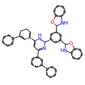 C1=C(C2=CC(c3cccc(-c4ccccc4)c3)=NC(c3cc(C4Nc5ccccc5O4)cc(C4Nc5ccccc5O4)c3)N2)C=C(c2ccccc2)CC1